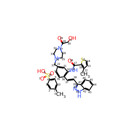 Cc1ccc(S(=O)(=O)O)cc1.Cc1ccsc1C(=O)Nc1cc(CN2CCN(C(=O)CO)CC2)ccc1C=Cc1n[nH]c2ccccc12